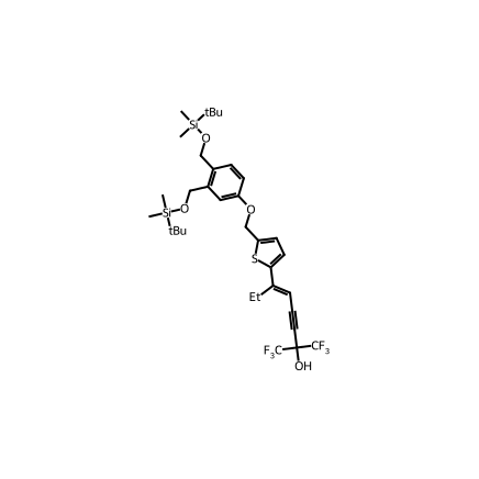 CCC(=CC#CC(O)(C(F)(F)F)C(F)(F)F)c1ccc(COc2ccc(CO[Si](C)(C)C(C)(C)C)c(CO[Si](C)(C)C(C)(C)C)c2)s1